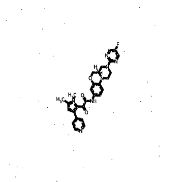 Cc1cc(-c2ccncc2)c(C(=O)C(=O)Nc2ccc3c(c2)OC[C@H]2CN(c4ncc(F)cn4)CCN32)n1C